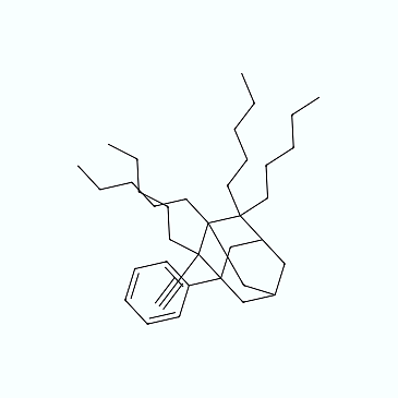 C#CC1(CCCCC)C2(c3ccccc3)CC3CC(C2)C(CCCCC)(CCCCC)C1(CCCCC)C3